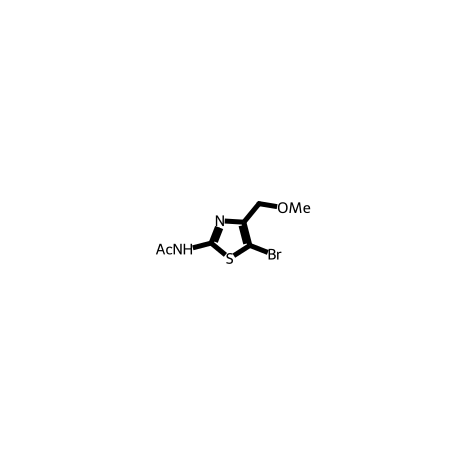 COCc1nc(NC(C)=O)sc1Br